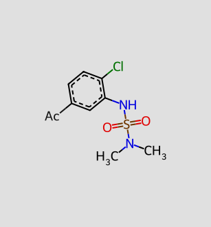 CC(=O)c1ccc(Cl)c(NS(=O)(=O)N(C)C)c1